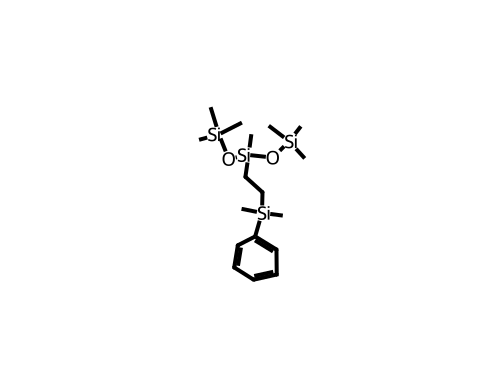 C[Si](C)(C)O[Si](C)(CC[Si](C)(C)c1ccccc1)O[Si](C)(C)C